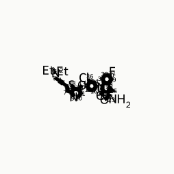 CCN(CC)CC#Cc1cc2nccc(Oc3ccc(N(C(=O)C4(C(N)=O)CC4)c4ccc(F)cc4)cc3Cl)c2s1